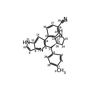 Cc1ccc(C(c2nc3cc[nH]c3cc2-c2ccc(C#N)cc2)[C@@H]2CCNC2)cc1